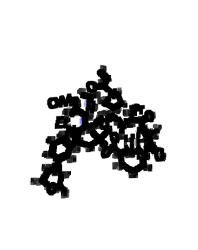 C=CC(=O)N1CC[C@H](C(=O)N(C)[C@H](C(=O)N[C@@H](C)C(=O)N2CCC[C@@H](C(=O)OCC(C)(C)Cc3c(/C(C=C)=C(/N=C\C)[C@H](C)OC)n(CC)c4ccc(N5CCO[C@H](C)C5)cc34)N2)C(C)C)C1